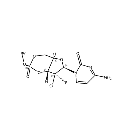 CC(C)O[P@@]1(=O)OC[C@H]2O[C@@H](n3ccc(N)nc3=O)[C@@](F)(Cl)[C@@H]2O1